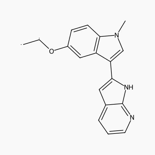 [CH2][CH]Oc1ccc2c(c1)c(-c1cc3cccnc3[nH]1)cn2C